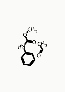 CC=O.COC(=O)Nc1ccccc1